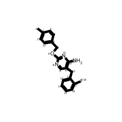 Cc1ccc(COc2ncc(Cc3ccccc3F)c(N)n2)cc1